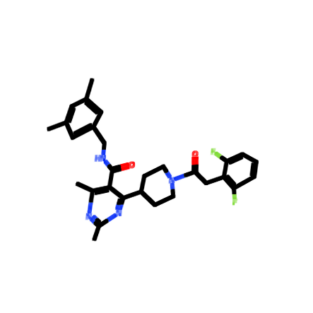 Cc1cc(C)cc(CNC(=O)c2c(C)nc(C)nc2C2CCN(C(=O)Cc3c(F)cccc3F)CC2)c1